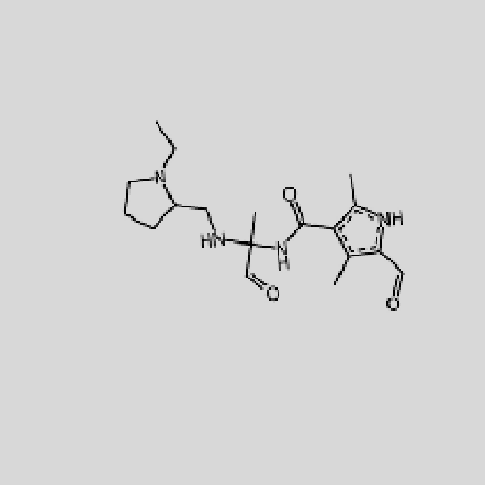 CCN1CCCC1CNC(C)(C=O)NC(=O)c1c(C)[nH]c(C=O)c1C